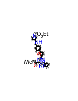 CCOC(=O)N1CCC(NCc2ccc(-c3ccc(-c4nc(C(=O)NC)c(=N)n(C5CCCC5)n4)o3)cc2)C1